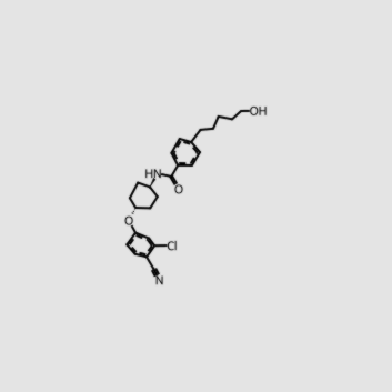 N#Cc1ccc(O[C@H]2CC[C@H](NC(=O)c3ccc(CCCCCO)cc3)CC2)cc1Cl